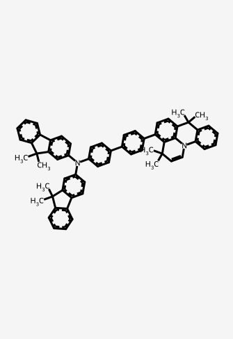 CC1(C)C=CN2c3ccccc3C(C)(C)c3ccc(-c4ccc(-c5ccc(N(c6ccc7c(c6)C(C)(C)c6ccccc6-7)c6ccc7c(c6)C(C)(C)c6ccccc6-7)cc5)cc4)c1c32